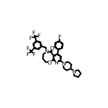 O=C1c2c(-c3ccc(F)cc3)cc(N3CCC(N4CCCC4)CC3)nc2OCCCN1Cc1cc(C(F)(F)F)cc(C(F)(F)F)c1